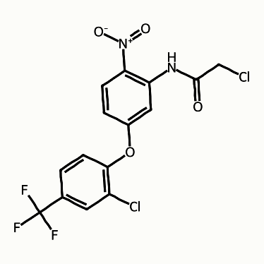 O=C(CCl)Nc1cc(Oc2ccc(C(F)(F)F)cc2Cl)ccc1[N+](=O)[O-]